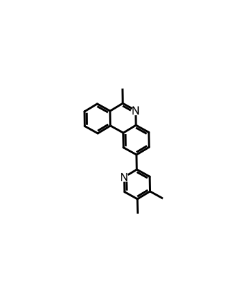 Cc1cnc(-c2ccc3nc(C)c4ccccc4c3c2)cc1C